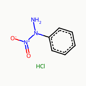 Cl.NN(c1ccccc1)[N+](=O)[O-]